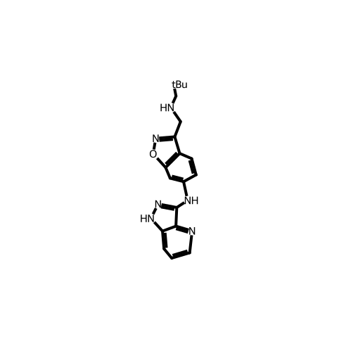 CC(C)(C)CNCc1noc2cc(Nc3n[nH]c4cccnc34)ccc12